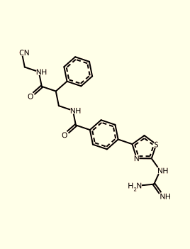 N#CCNC(=O)C(CNC(=O)c1ccc(-c2csc(NC(=N)N)n2)cc1)c1ccccc1